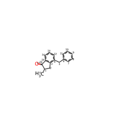 CC1Cc2c(Cc3ccccc3)cccc2C1=O